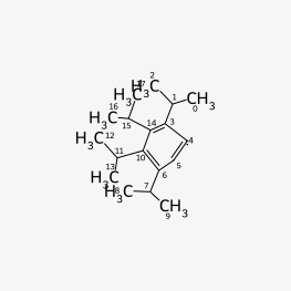 CC(C)c1[c]cc(C(C)C)c(C(C)C)c1C(C)C